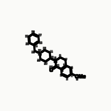 COc1ccc2c(c1)CCN(C1CCN(Cc3ccccc3)CC1)C2=O